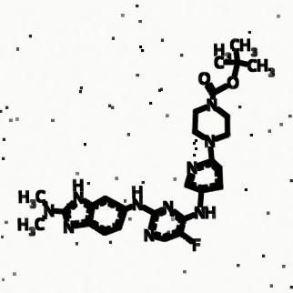 CN(C)c1nc2ccc(Nc3ncc(F)c(Nc4ccc(N5CCN(C(=O)OC(C)(C)C)CC5)nc4)n3)cc2[nH]1